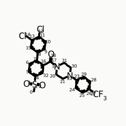 CS(=O)(=O)c1ccc(-c2ccc(Cl)c(Cl)c2)c(C(=O)N2CCN(c3ccc(C(F)(F)F)cc3)CC2)c1